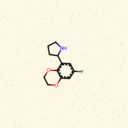 Fc1cc2c(c(C3CC[CH]N3)c1)OCCO2